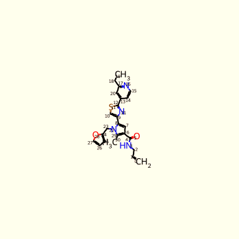 C=CCNC(=O)c1cc(-c2csc(-c3ccnc(CC)c3)n2)n(Cc2ccco2)c1C